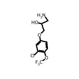 NCC(O)COc1ccc(OC(F)(F)F)c(Cl)c1